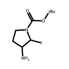 CC(C)(C)OC(=O)N1CCC(N)C1I